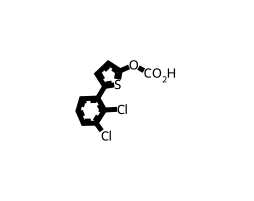 O=C(O)Oc1ccc(-c2cccc(Cl)c2Cl)s1